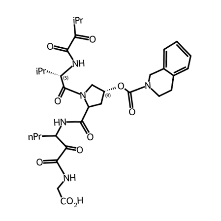 CCCC(NC(=O)C1C[C@@H](OC(=O)N2CCc3ccccc3C2)CN1C(=O)[C@@H](NC(=O)C(=O)C(C)C)C(C)C)C(=O)C(=O)NCC(=O)O